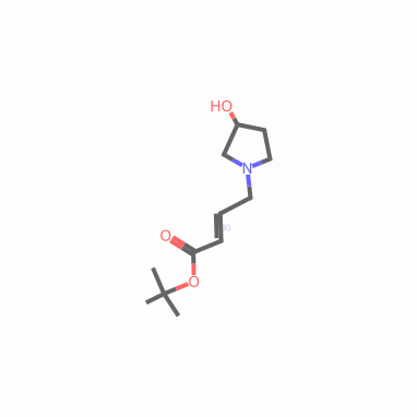 CC(C)(C)OC(=O)/C=C/CN1CCC(O)C1